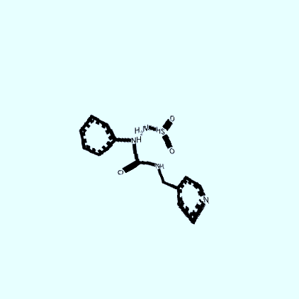 N[SH](=O)=O.O=C(NCc1ccncc1)Nc1ccccc1